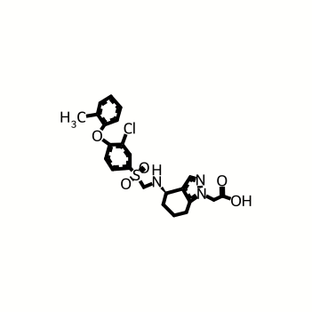 Cc1ccccc1Oc1ccc(S(=O)(=O)CN[C@@H]2CCCc3c2cnn3CC(=O)O)cc1Cl